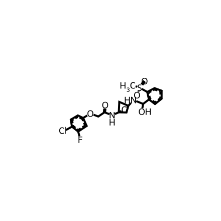 CS(=O)(=O)c1ccccc1C(O)NC12CC(NC(=O)COc3ccc(Cl)c(F)c3)(C1)C2